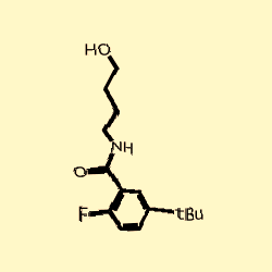 CC(C)(C)c1ccc(F)c(C(=O)NCCCCO)c1